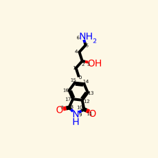 CCC(O)CCN.O=C1NC(=O)c2ccccc21